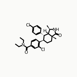 CCN(CC)C(=O)c1ccc([C@@H]2CC[C@@]3(C)C(=O)N[C@H](C)[C@H]3[C@H]2c2ccc(Cl)cc2)c(Cl)c1